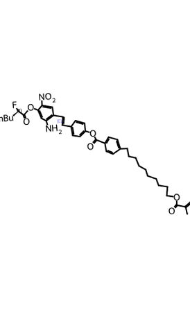 C=C(C)C(=O)OCCCCCCCCCCc1ccc(C(=O)Oc2ccc(/C=C/c3cc([N+](=O)[O-])c(OC(=O)[C@H](F)CCCC)cc3N)cc2)cc1